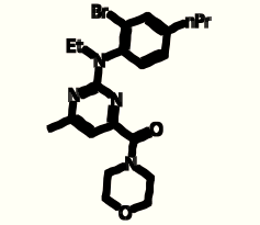 CCCc1ccc(N(CC)c2nc(C)cc(C(=O)N3CCOCC3)n2)c(Br)c1